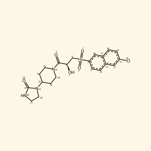 O=C([C@H](O)CS(=O)(=O)c1ccc2cc(Cl)ccc2c1)N1CCC(N2CCNC2=O)CC1